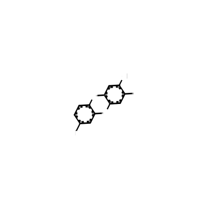 Clc1ccc2c(c1)Oc1cc(Cl)c(Cl)cc1O2